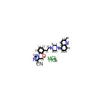 Cc1ccc2c(N3CCN(CCc4cccc5c4OCc4c(C#N)ncn4-5)CC3)cccc2n1.Cl.Cl